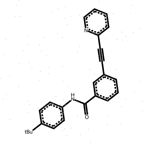 CC(C)(C)c1ccc(NC(=O)c2cccc(C#Cc3ccccn3)c2)cc1